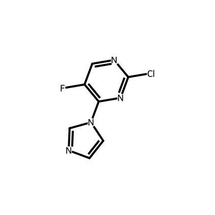 Fc1cnc(Cl)nc1-n1ccnc1